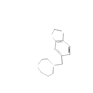 c1cc2c(cc1CN1CCC[N]CC1)OCO2